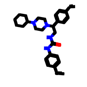 COc1ccc(NC(=O)NCC(c2ccc(C(C)(C)C)cc2)N2CCN(C3CCCCC3)CC2)cc1